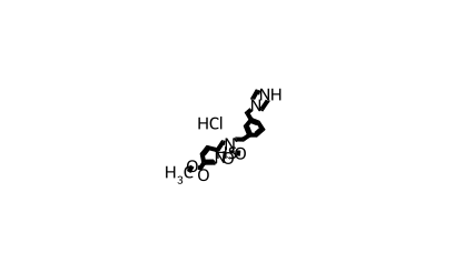 COC(=O)c1ccc(CN(CCc2cccc(CN3CCNCC3)c2)[SH](=O)=O)nc1.Cl